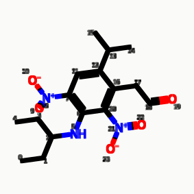 CCC(CC)Nc1c([N+](=O)[O-])cc(C(C)C)c(CC=O)c1[N+](=O)[O-]